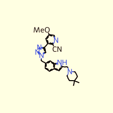 COc1cnc(C#N)c(-c2cn(Cc3ccc4cc(CN5CCC(C)(C)CC5)[nH]c4c3)nn2)c1